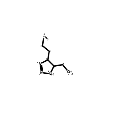 CCCC1N=NNC1CC